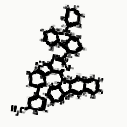 CC1C=C(C2=Cc3c(oc4c3C(n3c5ccccc5c5cc6ccccc6cc53)NC(c3cccc5c3c3ccccc3n5-c3ccccc3)=N4)CC2)C=CC1